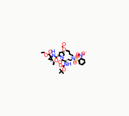 C=CCCN(CC[C@H](NC(=O)OC(C)(C)C)C(=O)N1C[C@H](OC=O)C[C@H]1C(=O)N[C@]1(C(=O)OCC)C[C@H]1C=C)S(=O)(=O)c1ccccc1[N+](=O)[O-]